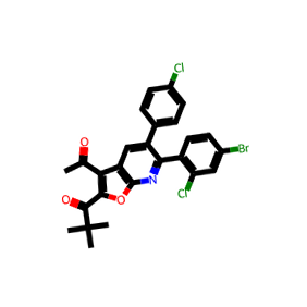 CC(=O)c1c(C(=O)C(C)(C)C)oc2nc(-c3ccc(Br)cc3Cl)c(-c3ccc(Cl)cc3)cc12